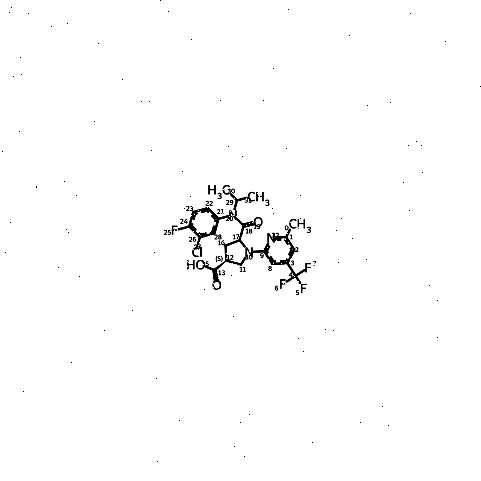 Cc1cc(C(F)(F)F)cc(N2C[C@@H](C(=O)O)CC2C(=O)N(c2ccc(F)c(Cl)c2)C(C)C)n1